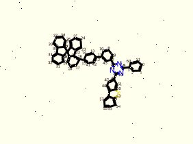 c1ccc(-c2nc(-c3cccc(-c4ccc(-c5cccc6c5-c5ccccc5C65c6ccccc6-c6ccccc65)cc4)c3)nc(-c3ccc4c(c3)sc3ccccc34)n2)cc1